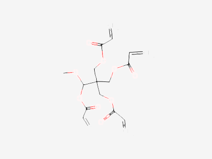 C=CC(=O)OCC(COC(=O)C=C)(COC(=O)C=C)C(OCC)OC(=O)C=C